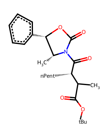 CCCCC[C@H](C(=O)N1C(=O)O[C@@H](c2ccccc2)[C@H]1C)C(C)C(=O)OC(C)(C)C